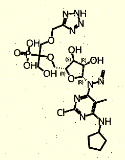 C=NN(c1nc(Cl)nc(NC2CCCC2)c1C)[C@@H]1O[C@H](COC(CO)(COCc2nn[nH]n2)P(=O)(O)O)[C@@H](O)[C@H]1O